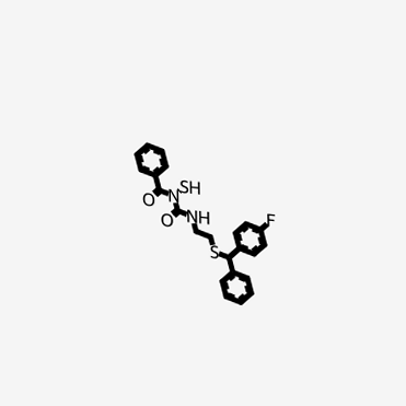 O=C(NCCSC(c1ccccc1)c1ccc(F)cc1)N(S)C(=O)c1ccccc1